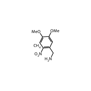 C.COc1cc(CN)c([N+](=O)[O-])cc1OC